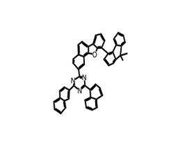 CC1(C)c2ccccc2-c2c(-c3cccc4c3oc3c5cc(-c6nc(-c7ccc8ccccc8c7)nc(-c7cccc8ccccc78)n6)ccc5ccc43)cccc21